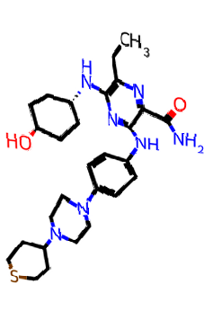 CCc1nc(C(N)=O)c(Nc2ccc(N3CCN(C4CCSCC4)CC3)cc2)nc1N[C@H]1CC[C@H](O)CC1